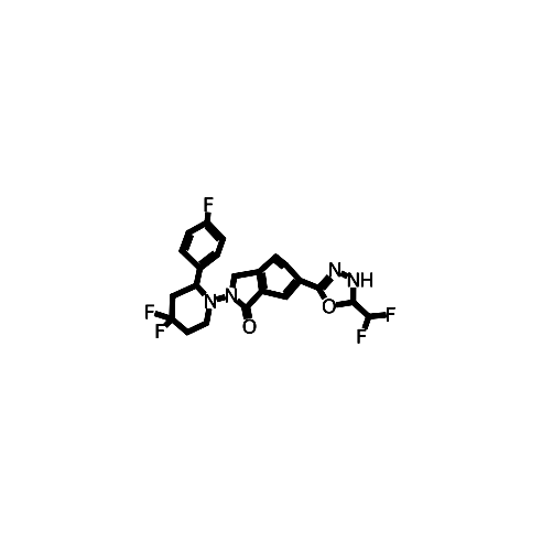 O=C1c2cc(C3=NNC(C(F)F)O3)ccc2CN1N1CCC(F)(F)CC1c1ccc(F)cc1